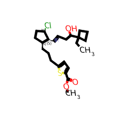 CCC1(C(O)C/C=C/[C@@H]2[C@@H](CCCc3ccc(C(=O)OC)s3)CC[C@@H]2Cl)CCC1